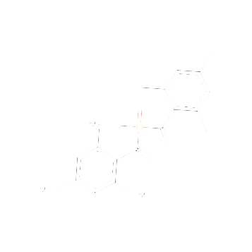 CCP(=O)(C(=O)c1c(C)cc(C)cc1C)C(=O)c1c(OC)cc(OC)cc1OC